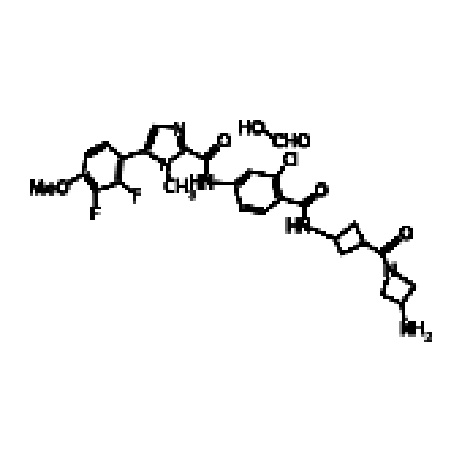 COc1ccc(-c2cnc(C(=O)Nc3ccc(C(=O)NC4CC(C(=O)N5CC(N)C5)C4)c(Cl)c3)n2C)c(F)c1F.O=CO